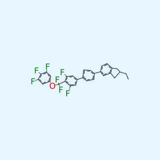 CCC1Cc2ccc(-c3ccc(-c4cc(F)c(C(F)(F)Oc5cc(F)c(F)c(F)c5)c(F)c4)cc3)cc2C1